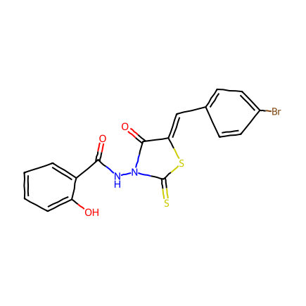 O=C(NN1C(=O)/C(=C/c2ccc(Br)cc2)SC1=S)c1ccccc1O